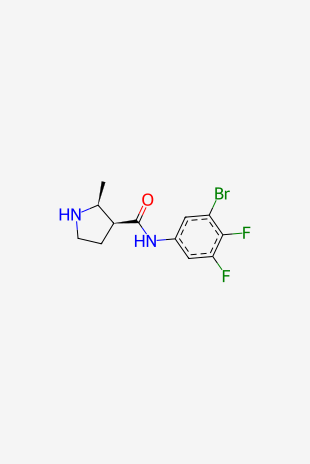 C[C@@H]1NCC[C@@H]1C(=O)Nc1cc(F)c(F)c(Br)c1